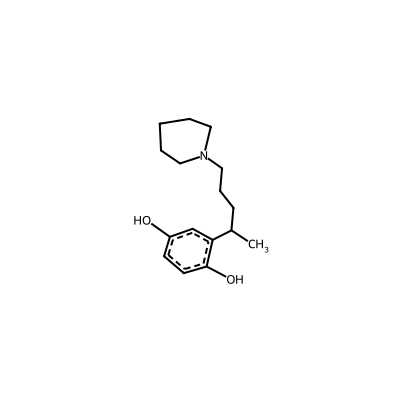 CC(CCCN1CCCCC1)c1cc(O)ccc1O